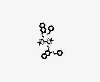 CC1(C)O[C@@H]([C@H]2OC(C)(C)O[C@@H]2COc2cc3ccccc3cc2OCc2ccccc2)[C@H](COc2cc3ccccc3cc2OCc2ccccc2)O1